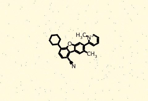 Cc1cc2c(cc1-c1cccc[n+]1C)oc1c(C3CCCCC3)ccc(C#N)c12